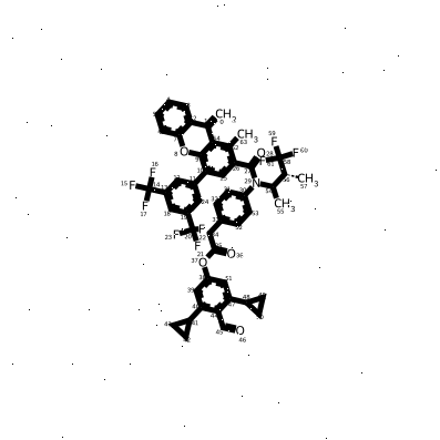 C=C1c2ccccc2Oc2c(-c3cc(C(F)(F)F)cc(C(F)(F)F)c3)cc(C(=O)N(c3ccc(CC(=O)Oc4cc(C5CC5)c(C=O)c(C5CC5)c4)cc3)C(C)[C@@H](C)C(F)(F)F)c(C)c21